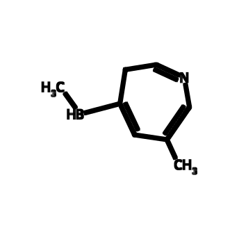 CBC1=CC(C)=CN=CC1